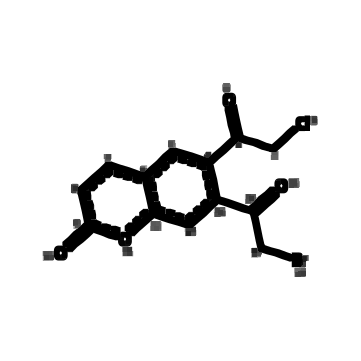 O=C(CCl)c1cc2ccc(=O)oc2cc1C(=O)CBr